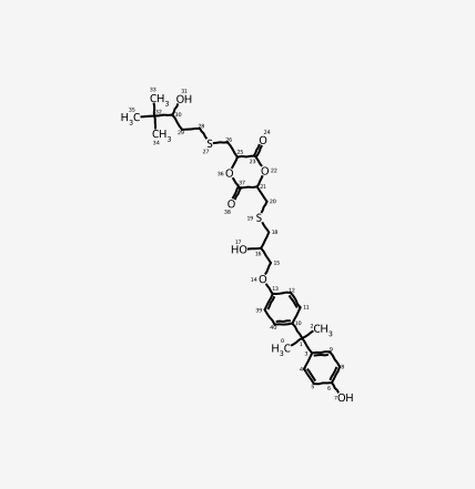 CC(C)(c1ccc(O)cc1)c1ccc(OCC(O)CSCC2OC(=O)C(CSCCC(O)C(C)(C)C)OC2=O)cc1